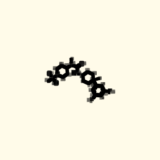 CN(C(=O)N[C@H]1CC[C@@](C)(c2cc(F)cc(F)c2)CC1)C1CCN(S(C)(=O)=O)CC1